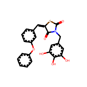 O=C1SC(=Cc2cccc(Oc3ccccc3)c2)C(=O)N1Cc1cc(O)c(O)c(O)c1